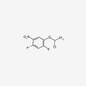 O=[N+]([O-])c1cc(OC(Cl)C(F)(F)F)c(F)cc1F